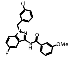 COc1cccc(C(=O)Nc2nn(Cc3cccc(Cl)c3)c3ccc(F)cc23)c1